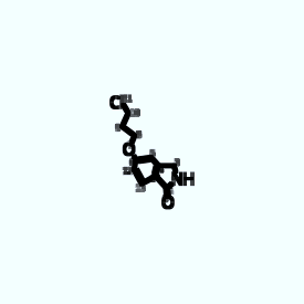 O=C1NCc2cc(OCCCCl)ccc21